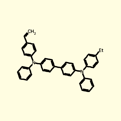 C=Cc1ccc(N(c2ccccc2)c2ccc(-c3ccc(N(c4ccccc4)c4ccc(CC)cc4)cc3)cc2)cc1